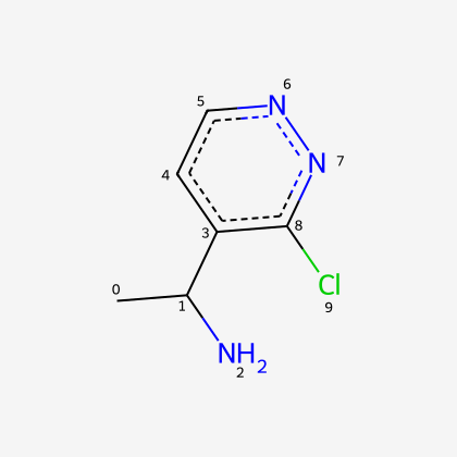 CC(N)c1ccnnc1Cl